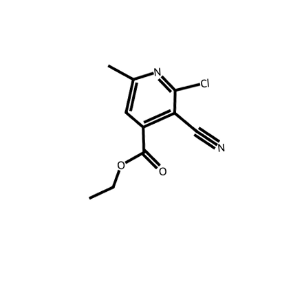 CCOC(=O)c1cc(C)nc(Cl)c1C#N